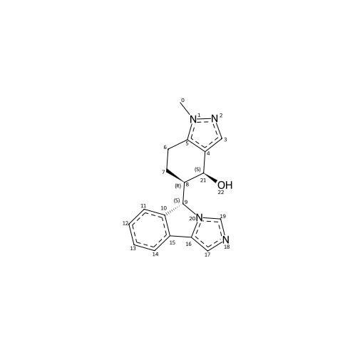 Cn1ncc2c1CC[C@H]([C@H]1c3ccccc3-c3cncn31)[C@@H]2O